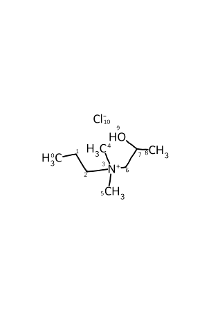 CCC[N+](C)(C)CC(C)O.[Cl-]